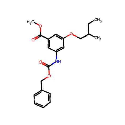 CCC(C)COc1cc(NC(=O)OCc2ccccc2)cc(C(=O)OC)c1